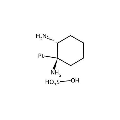 N[C@@H]1CCCC[C@]1(N)[Pt].O=S(=O)(O)O